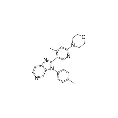 Cc1ccc(-n2c(-c3cnc(N4CCOCC4)cc3C)nc3ccncc32)cc1